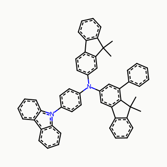 CC1(C)c2ccccc2-c2ccc(N(c3ccc(-n4c5ccccc5c5ccccc54)cc3)c3cc(-c4ccccc4)c4c(c3)-c3ccccc3C4(C)C)cc21